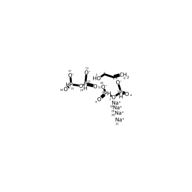 C=CCO.O=[PH]([O-])O[PH](=O)[O-].O=[PH]([O-])O[PH](=O)[O-].[Na+].[Na+].[Na+].[Na+]